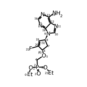 CCOP(=O)(CO[C@@H]1C[C@H](n2cnc3c(N)ncnc32)C=C1F)OCC